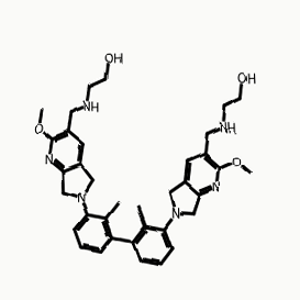 COc1nc2c(cc1CNCCO)CN(c1cccc(-c3cccc(N4Cc5cc(CNCCO)c(OC)nc5C4)c3C)c1C)C2